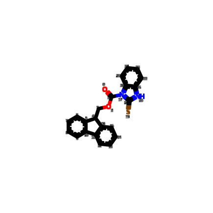 O=C(OCC1c2ccccc2-c2ccccc21)n1c(=S)[nH]c2ccccc21